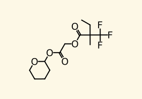 CCC(C)(C(=O)OCC(=O)OC1CCCCO1)C(F)(F)F